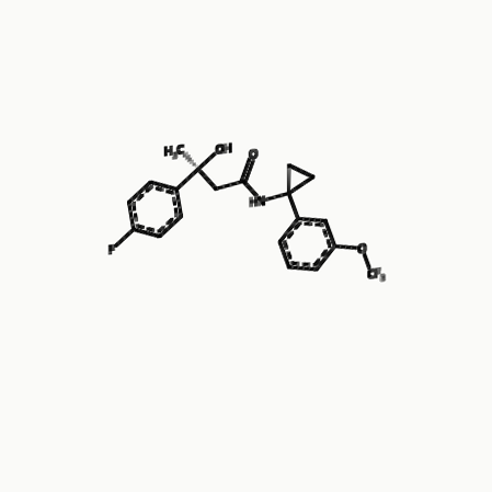 C[C@](O)(CC(=O)NC1(c2cccc(OC(F)(F)F)c2)CC1)c1ccc(F)cc1